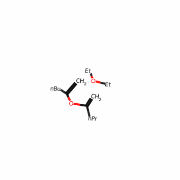 C=C(CCC)OC(=C)CCCC.CCOCC